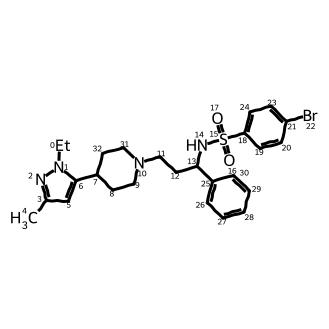 CCn1nc(C)cc1C1CCN(CCC(NS(=O)(=O)c2ccc(Br)cc2)c2ccccc2)CC1